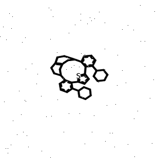 c1cc(C2CCCCC2)c2c(c1)C1CCC3=C(C1)CC(CC3)c1cccc(C3CCCCC3)c1-c1ccc-2s1